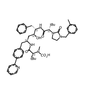 Cc1cccc(CN2CCN([C@H](C(=O)N[C@@H](Cc3ccccc3)[C@@H](O)C[C@H](Cc3ccc(-c4ccccn4)cc3)NC(=O)[C@@H](N(C)C(=O)O)C(C)(C)C)C(C)(C)C)C2=O)c1